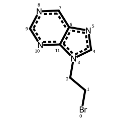 BrCCn1cnc2cncnc21